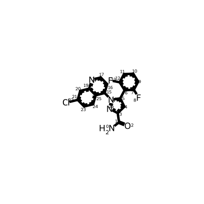 NC(=O)c1cc(-c2c(F)cccc2F)n(-c2ccnc3cc(Cl)ccc23)n1